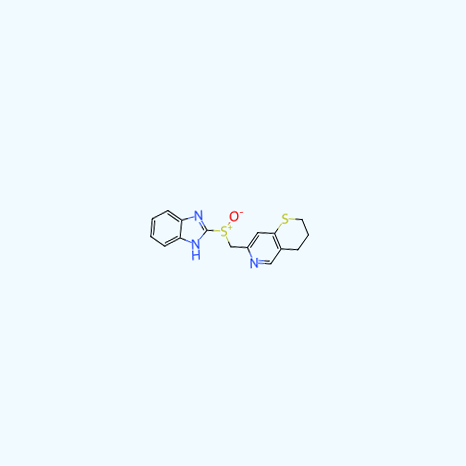 [O-][S+](Cc1cc2c(cn1)CCCS2)c1nc2ccccc2[nH]1